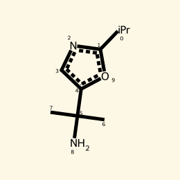 CC(C)c1ncc(C(C)(C)N)o1